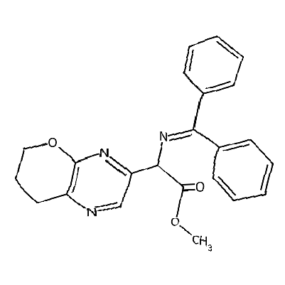 COC(=O)C(N=C(c1ccccc1)c1ccccc1)c1cnc2c(n1)OCCC2